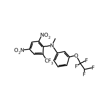 CN(c1cccc(OC(F)(F)C(F)F)c1)c1c([N+](=O)[O-])cc([N+](=O)[O-])cc1C(F)(F)F